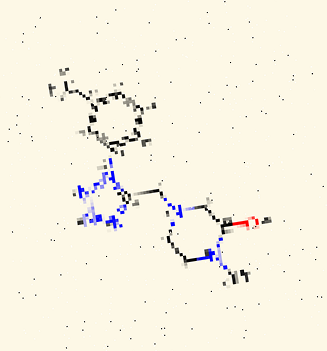 CC(C)N1CCN(Cc2nnnn2-c2cccc(C(F)(F)F)c2)CC1=O